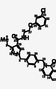 COCc1nn(Cc2ccc(CN3C=CC(C)=CC3O)cc2)cc1C(=O)NCCOc1cccc(Cl)c1